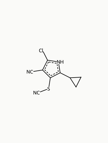 N#CSc1c(C2CC2)[nH]c(Cl)c1C#N